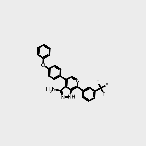 Nc1n[nH]c2c(-c3cccc(C(F)(F)F)c3)ncc(-c3ccc(Oc4ccccc4)cc3)c12